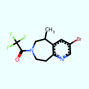 CC1CN(C(=O)C(F)(F)F)CCc2ncc(Br)cc21